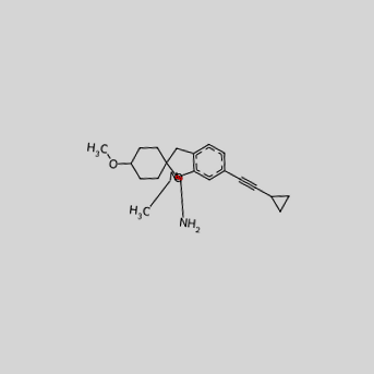 COC1CCC2(CC1)Cc1ccc(C#CC3CC3)cc1C21C=C(N)N(C)O1